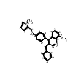 Cn1cccc1COc1ccc(-c2c(Cc3ccccc3)cnc3c(C(F)(F)F)cccc23)cc1